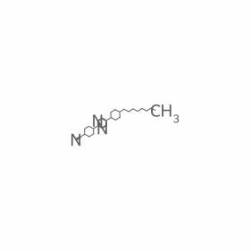 CCCCCCCCC1CCC(c2cnc(C3CCC(C#N)CC3)nc2)CC1